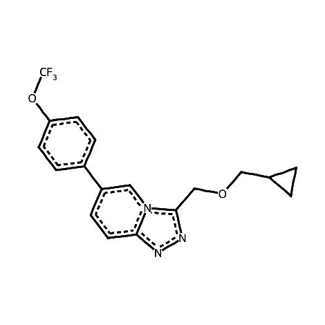 FC(F)(F)Oc1ccc(-c2ccc3nnc(COCC4CC4)n3c2)cc1